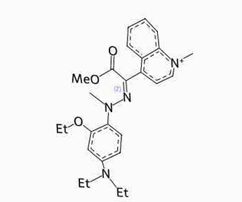 CCOc1cc(N(CC)CC)ccc1N(C)/N=C(\C(=O)OC)c1cc[n+](C)c2ccccc12